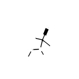 CN[S+]([O-])C(C)(C)C#N